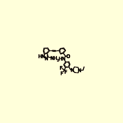 CCN1CCN(Cc2ccc(NC(=O)c3cccc(C#Cc4cccc5[nH]nc(N)c45)c3)cc2C(F)(F)F)CC1